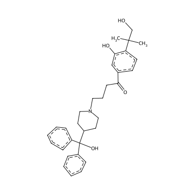 CC(C)(CO)c1ccc(C(=O)CCCN2CCC(C(O)(c3ccccc3)c3ccccc3)CC2)cc1O